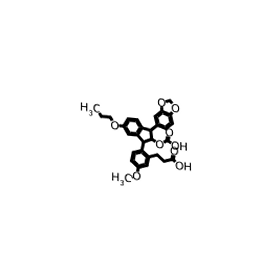 CCCOc1ccc2c(c1)C(c1ccc(OC)cc1CCC(=O)O)C(OC(=O)O)C2c1ccc2c(c1)OCO2